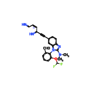 CN(C)c1nc2ccc(C#CC(=N)/C=C\C=N)cc2n1-c1c(C=O)cccc1OC(F)F